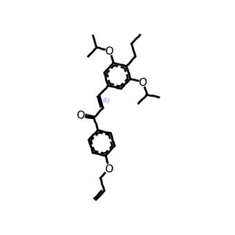 C=CCOc1ccc(C(=O)/C=C/c2cc(OC(C)C)c(CCC)c(OC(C)C)c2)cc1